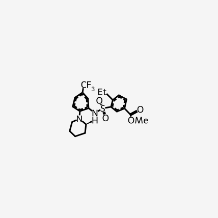 CCc1ccc(C(=O)OC)cc1S(=O)(=O)Nc1cc(C(F)(F)F)ccc1N1CCCC[C@@H]1C